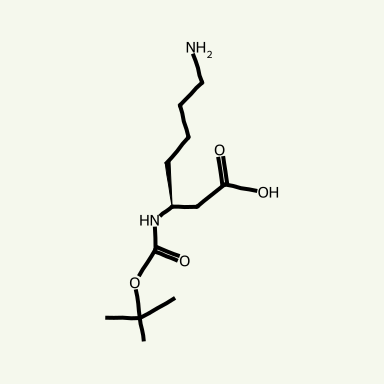 CC(C)(C)OC(=O)N[C@@H](CCCCN)CC(=O)O